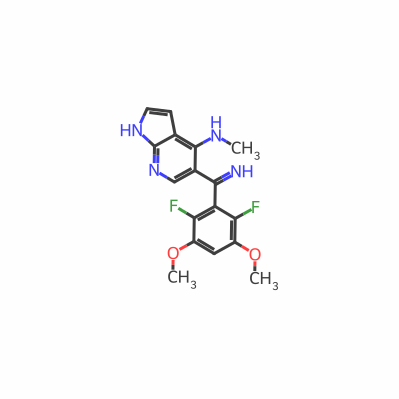 CNc1c(C(=N)c2c(F)c(OC)cc(OC)c2F)cnc2[nH]ccc12